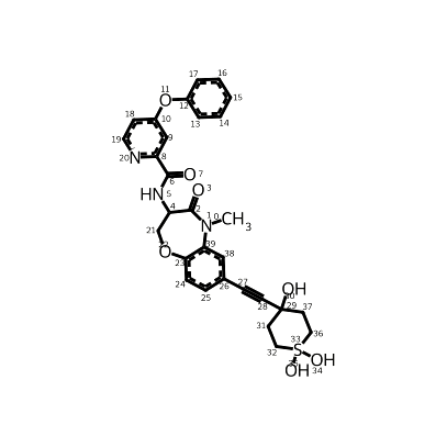 CN1C(=O)C(NC(=O)c2cc(Oc3ccccc3)ccn2)COc2ccc(C#CC3(O)CCS(O)(O)CC3)cc21